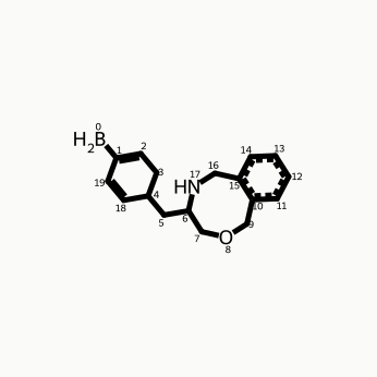 BC1=CCC(CC2COCc3ccccc3CN2)C=C1